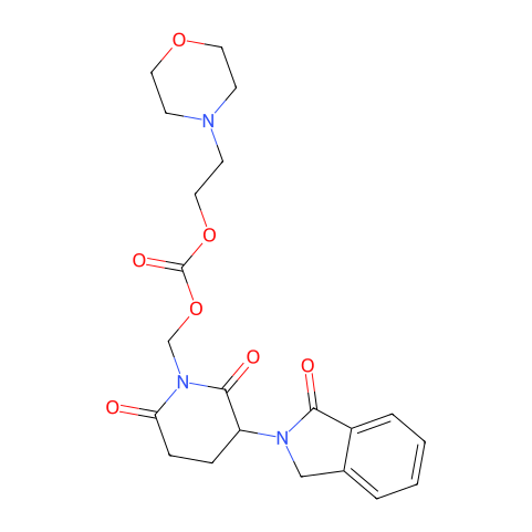 O=C(OCCN1CCOCC1)OCN1C(=O)CCC(N2Cc3ccccc3C2=O)C1=O